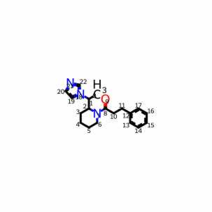 CC(C1CCCCN1C(=O)CCc1ccccc1)n1ccnc1